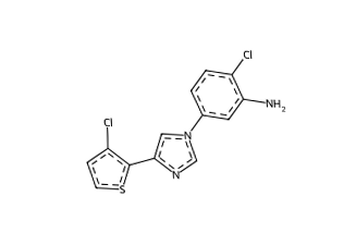 Nc1cc(-n2cnc(-c3sccc3Cl)c2)ccc1Cl